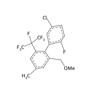 COCc1[c]c(C)cc(C(F)(C(F)(F)F)C(F)(F)F)c1-c1cc(Cl)ccc1F